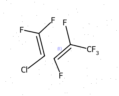 F/C=C(/F)C(F)(F)F.FC(F)=CCl